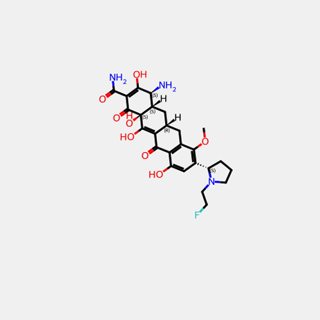 COc1c([C@@H]2CCCN2CCF)cc(O)c2c1C[C@H]1C[C@H]3[C@H](N)C(O)=C(C(N)=O)C(=O)[C@@]3(O)C(O)=C1C2=O